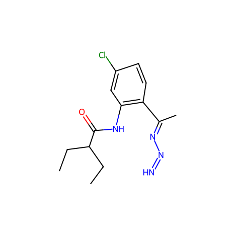 CCC(CC)C(=O)Nc1cc(Cl)ccc1/C(C)=N/N=N